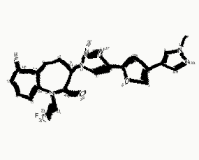 Cn1cc(-c2coc(-c3cn(C4CCc5c(F)cccc5N(CC(F)(F)F)C4=O)nn3)c2)cn1